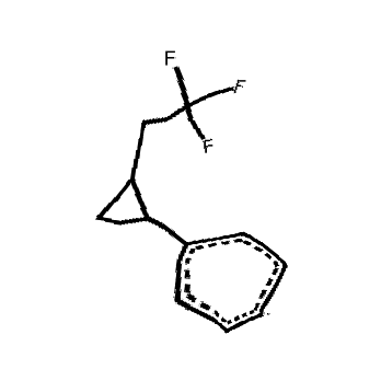 FC(F)(F)CC1CC1c1cc[c]cc1